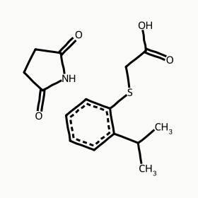 CC(C)c1ccccc1SCC(=O)O.O=C1CCC(=O)N1